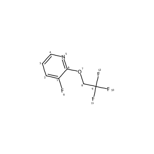 Fc1cc[c]nc1OCC(F)(F)F